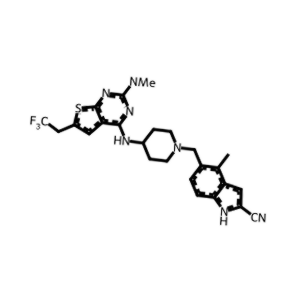 CNc1nc(NC2CCN(Cc3ccc4[nH]c(C#N)cc4c3C)CC2)c2cc(CC(F)(F)F)sc2n1